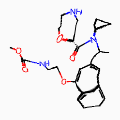 COC(=O)NCCOc1cc(C(C)N(C(=O)[C@H]2CNCCO2)C2CC2)cc2c1=CCCC=2